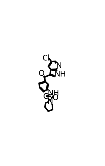 O=C(c1cccc(NS(=O)(=O)N2CCCCC2)c1)c1c[nH]c2ncc(Cl)cc12